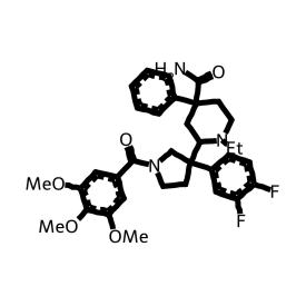 CCN1CCC(C(N)=O)(c2ccccc2)CC1C1(c2ccc(F)c(F)c2)CCN(C(=O)c2cc(OC)c(OC)c(OC)c2)C1